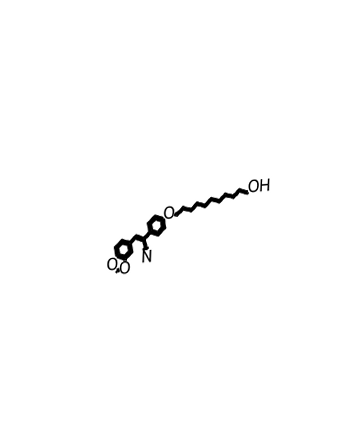 N#CC(=Cc1ccc2c(c1)OCO2)c1ccc(OCCCCCCCCCCCO)cc1